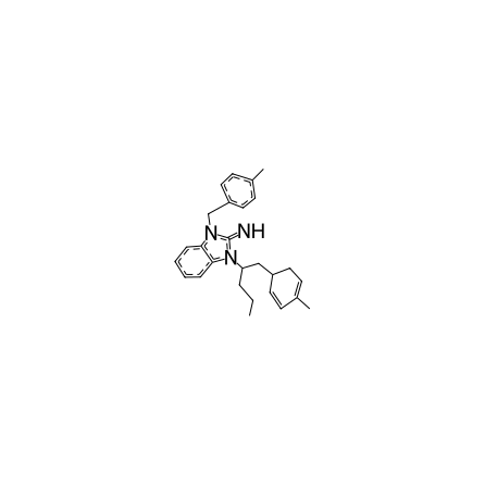 CCCC(CC1C=CC(C)=CC1)n1c(=N)n(Cc2ccc(C)cc2)c2ccccc21